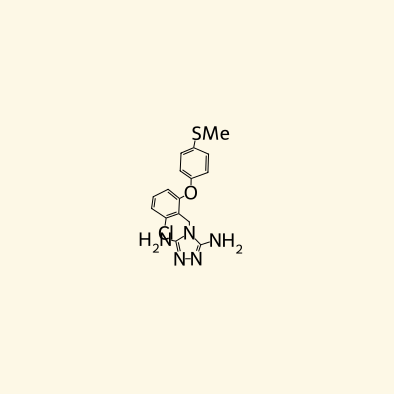 CSc1ccc(Oc2cccc(Cl)c2Cn2c(N)nnc2N)cc1